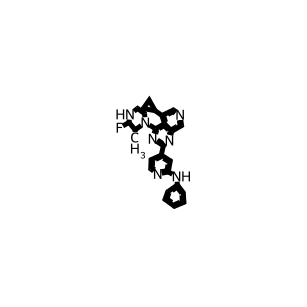 CC1C(F)NCCN1c1nc(-c2ccnc(Nc3ccccc3)c2)nc2cncc(C3CC3)c12